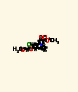 CCOC(=O)c1cn2c(cc1=O)-c1cc(Cl)c(OCCCOC)cc1CC21CCCC1